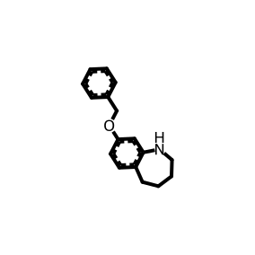 c1ccc(COc2ccc3c(c2)NCCCC3)cc1